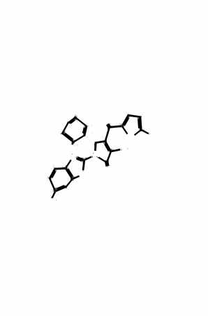 Cc1ccc(C(=O)C2=C(O)C(=O)N(c3nc4ccc(Cl)cc4s3)[C@@H]2c2ccccc2F)o1